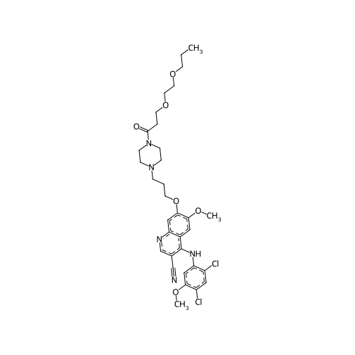 CCCOCCOCCC(=O)N1CCN(CCCOc2cc3ncc(C#N)c(Nc4cc(OC)c(Cl)cc4Cl)c3cc2OC)CC1